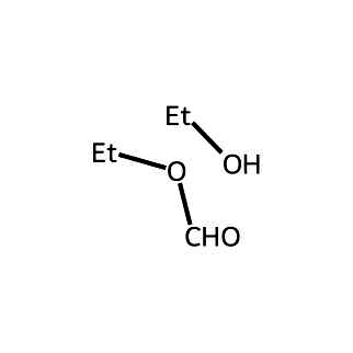 CCO.CCOC=O